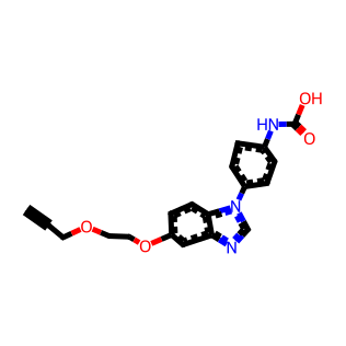 C#CCOCCOc1ccc2c(c1)ncn2-c1ccc(NC(=O)O)cc1